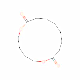 O=C1CCCCCCC(=O)OCCCCO1